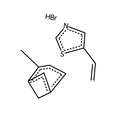 Br.C=Cc1cncs1.Cc1ccc2cc1C2